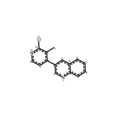 Cc1c(-c2cnc3ccccc3c2)ccnc1Cl